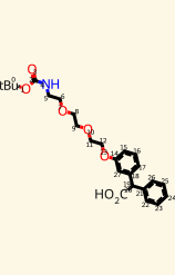 CC(C)(C)OC(=O)NCCOCCOCCOc1cccc(C(C(=O)O)c2ccccc2)c1